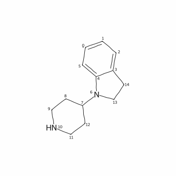 [c]1ccc2c(c1)N(C1CCNCC1)CC2